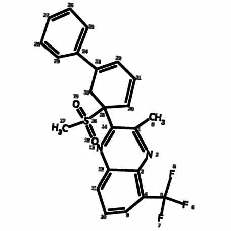 Cc1nc2c(C(F)(F)F)cccc2nc1C1(S(C)(=O)=O)C=CC=C(c2ccccc2)C1